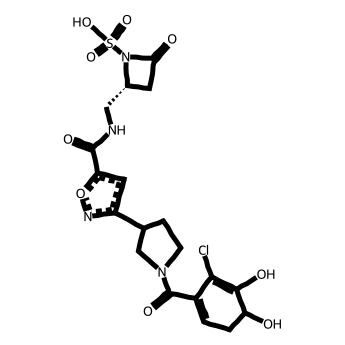 O=C(NC[C@H]1CC(=O)N1S(=O)(=O)O)c1cc(C2CCN(C(=O)C3=CCC(O)C(O)=C3Cl)C2)no1